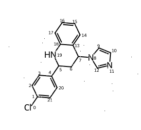 Clc1ccc(C2CC(n3ccnc3)c3ccccc3N2)cc1